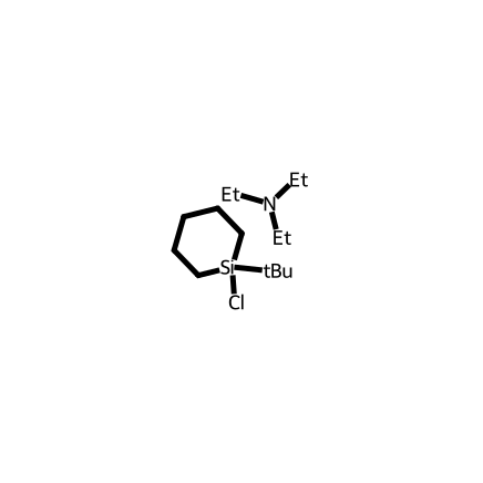 CC(C)(C)[Si]1(Cl)CCCCC1.CCN(CC)CC